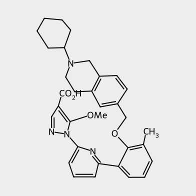 COc1c(C(=O)O)cnn1-c1cccc(-c2cccc(C)c2OCc2ccc3c(c2)CCN(C2CCCCC2)C3)n1